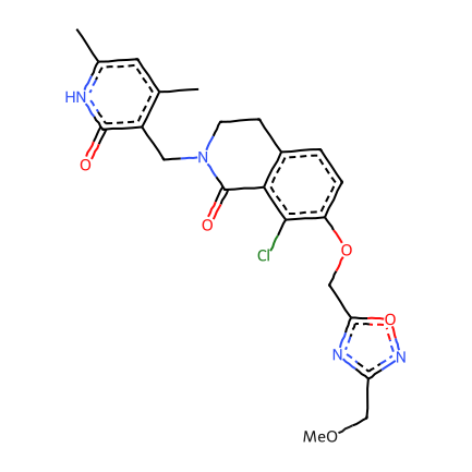 COCc1noc(COc2ccc3c(c2Cl)C(=O)N(Cc2c(C)cc(C)[nH]c2=O)CC3)n1